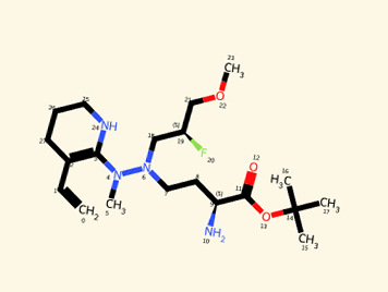 C=CC1=C(N(C)N(CC[C@H](N)C(=O)OC(C)(C)C)C[C@H](F)COC)NCCC1